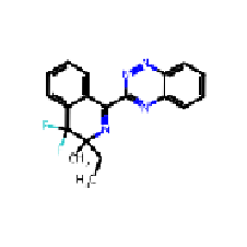 CCC1(C)N=C(c2nnc3ccccc3n2)c2ccccc2C1(F)F